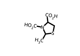 CC1SCC(C(=O)O)N1C(=O)O